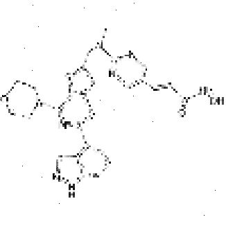 CN(Cc1cc2cc(-c3cccc4[nH]ncc34)nc(N3CCOCC3)c2s1)c1ncc(/C=C/C(=O)NO)cn1